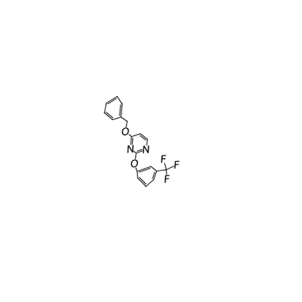 FC(F)(F)c1cccc(Oc2nccc(OCc3ccccc3)n2)c1